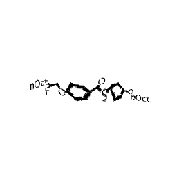 CCCCCCCCOc1ccc(SC(=O)c2ccc(OCC(F)CCCCCCCC)cc2)cc1